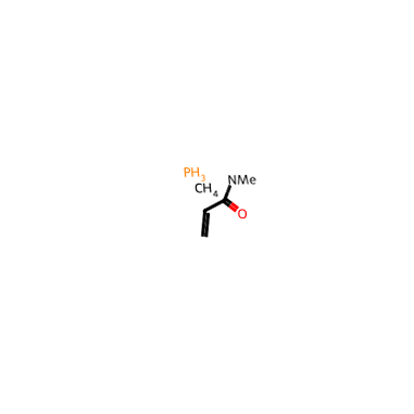 C.C=CC(=O)NC.P